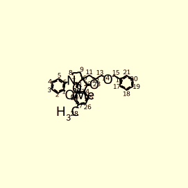 COc1ccccc1N1CCC(CCCOCc2ccccc2)(C(=O)c2ccc(C)cc2)C1=O